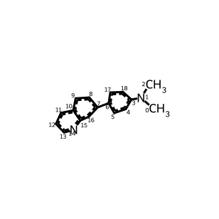 CN(C)c1ccc(-c2ccc3cccnc3c2)cc1